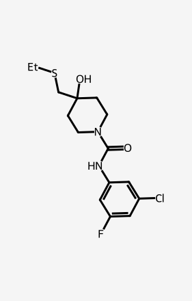 CCSCC1(O)CCN(C(=O)Nc2cc(F)cc(Cl)c2)CC1